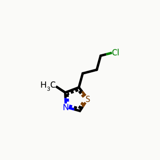 Cc1ncsc1CCCCl